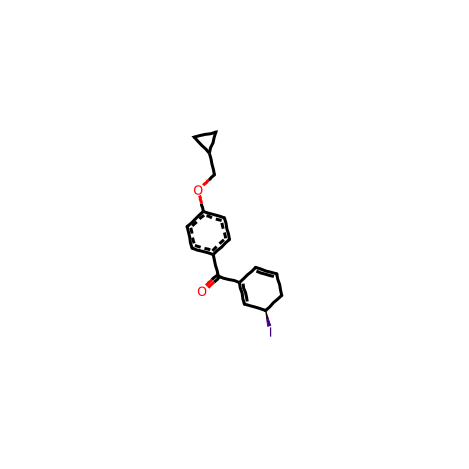 O=C(C1=C[C@H](I)CC=C1)c1ccc(OCC2CC2)cc1